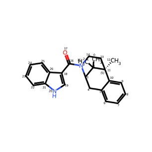 CC1(C)C2Cc3ccccc3[C@]1(C)CCN2C(=O)c1c[nH]c2ccccc12